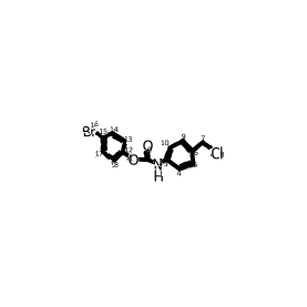 O=C(Nc1ccc(CCl)cc1)Oc1ccc(Br)cc1